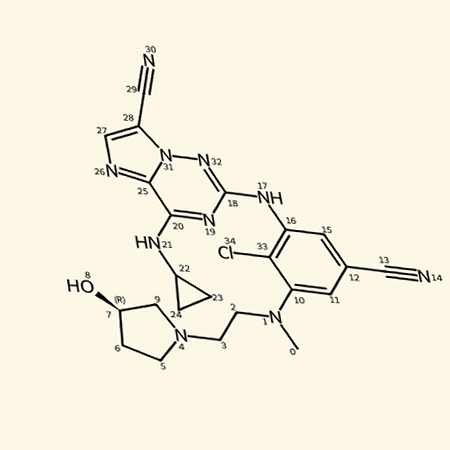 CN(CCN1CC[C@@H](O)C1)c1cc(C#N)cc(Nc2nc(NC3CC3)c3ncc(C#N)n3n2)c1Cl